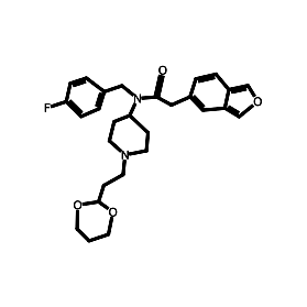 O=C(Cc1ccc2cocc2c1)N(Cc1ccc(F)cc1)C1CCN(CCC2OCCCO2)CC1